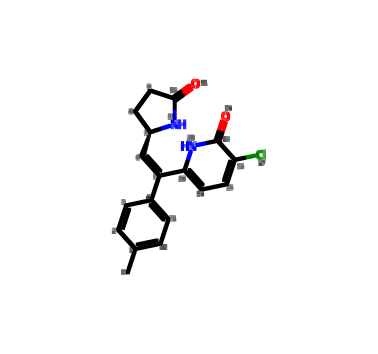 Cc1ccc(/C(=C/[C@H]2CCC(=O)N2)c2ccc(Cl)c(=O)[nH]2)cc1